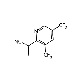 CC(C#N)c1ncc(C(F)(F)F)cc1C(F)(F)F